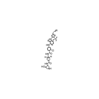 N#CCn1cc(-c2cnc3c(Nc4ccc(C(=O)NC5[C@H]6CN(C(=O)N[C@@H]7CNC[C@H]7O)C[C@@H]56)c(Cl)c4)nccn23)c(C(F)(F)F)n1